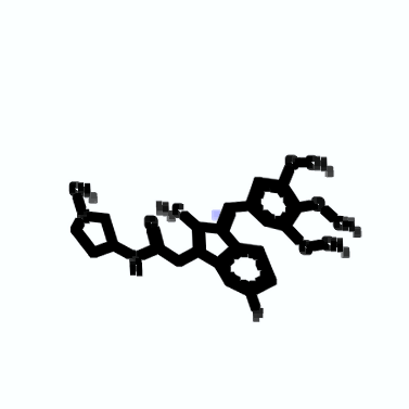 COc1cc(/C=C2/C(C)=C(CC(=O)NC3CCN(C)C3)c3cc(F)ccc32)cc(OC)c1OC